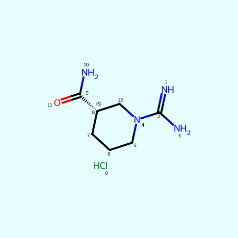 Cl.N=C(N)N1CCC[C@H](C(N)=O)C1